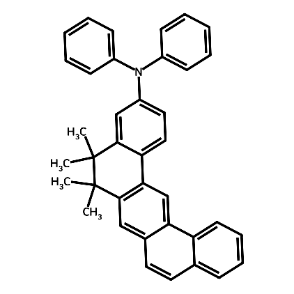 CC1(C)c2cc(N(c3ccccc3)c3ccccc3)ccc2-c2cc3c(ccc4ccccc43)cc2C1(C)C